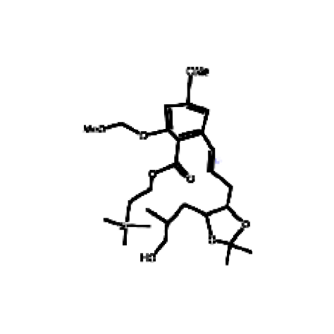 COCOc1cc(OC)cc(/C=C/CC2OC(C)(C)OC2CC(C)CO)c1C(=O)OCC[Si](C)(C)C